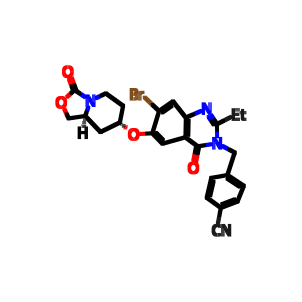 CCc1nc2cc(Br)c(O[C@H]3CCN4C(=O)OC[C@@H]4C3)cc2c(=O)n1Cc1ccc(C#N)cc1